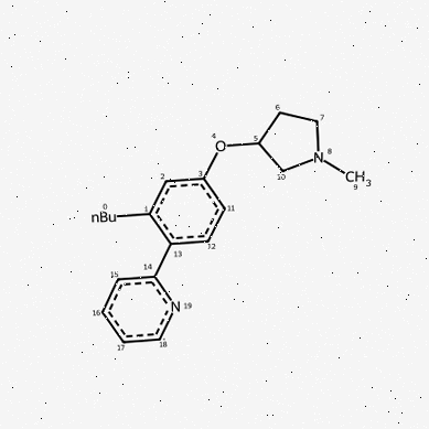 CCCCc1cc(OC2CCN(C)C2)ccc1-c1ccc[c]n1